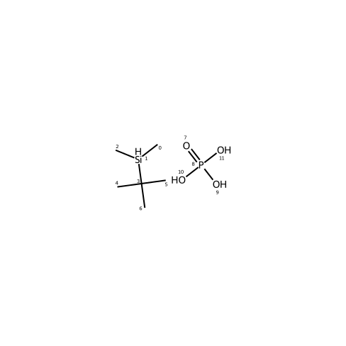 C[SiH](C)C(C)(C)C.O=P(O)(O)O